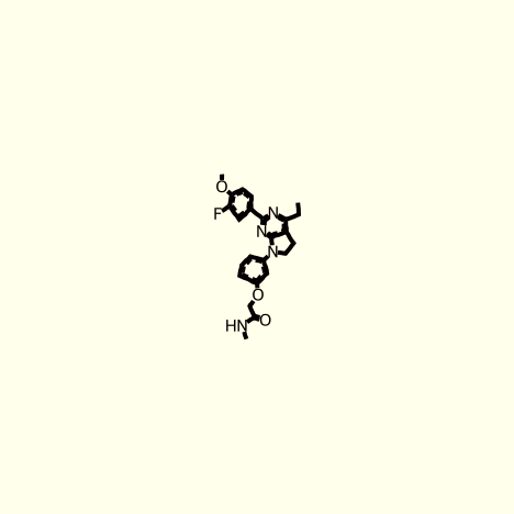 CCc1nc(-c2ccc(OC)c(F)c2)nc2c1CCN2c1cccc(OCC(=O)NC)c1